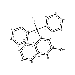 Oc1cc(C(O)(c2ccccc2)c2ccccc2)c2ccccc2n1